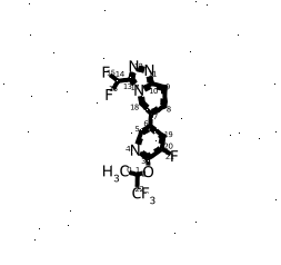 CC(Oc1ncc(-c2ccc3nnc(C(F)F)n3c2)cc1F)C(F)(F)F